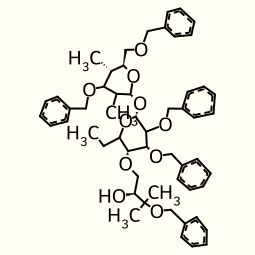 CCC1O[C@H](O[C@H]2O[C@H](COCc3ccccc3)[C@@H](C)C(OCc3ccccc3)C2C)C(OCc2ccccc2)[C@@H](OCc2ccccc2)[C@@H]1OC[C@H](O)C(C)(C)OCc1ccccc1